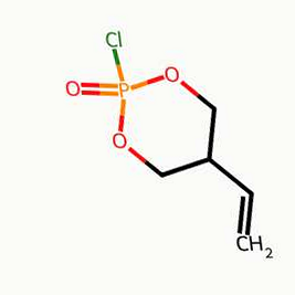 C=CC1COP(=O)(Cl)OC1